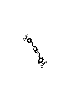 O=[N+]([O-])c1ccc(CCN2CC3CC(C2)CN(CCc2ccc([N+](=O)[O-])cc2)C3)cc1